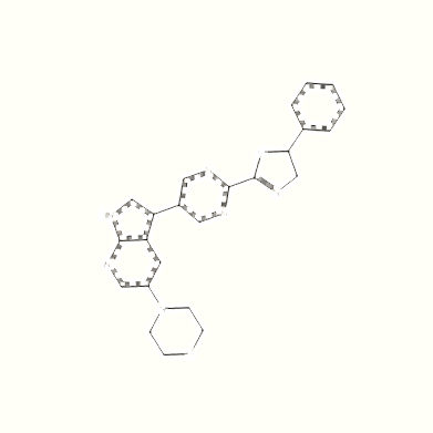 c1ccc(C2CN=C(c3ncc(-c4c[nH]c5ncc(N6CCOCC6)cc45)cn3)O2)cc1